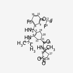 CC(C)NC1=C(C(=N)c2cc(OC(F)F)ccc2F)CC[C@@H](C(=O)N[C@]2(C)CCS(=O)(=O)C2)C1